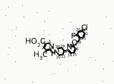 Cc1cc(C(=O)O)cnc1CN1CCC(c2cccc(OCc3ccc(Cl)cc3F)n2)CC1